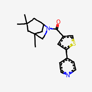 CC1(C)CC2CC(C)(CN2C(=O)c2csc(-c3ccncc3)c2)C1